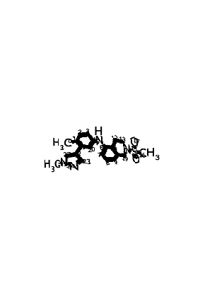 Cc1ccc(Nc2cccc3c2CCN(S(C)(=O)=O)C3)cc1-c1cnn(C)c1